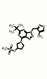 Cc1conc1Cn1nnc2c(N3CCC(OS(C)(=O)=O)C3)nc(C(C)(C)C)nc21